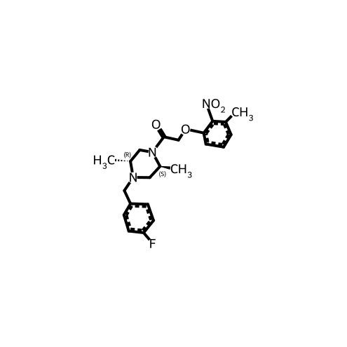 Cc1cccc(OCC(=O)N2C[C@@H](C)N(Cc3ccc(F)cc3)C[C@@H]2C)c1[N+](=O)[O-]